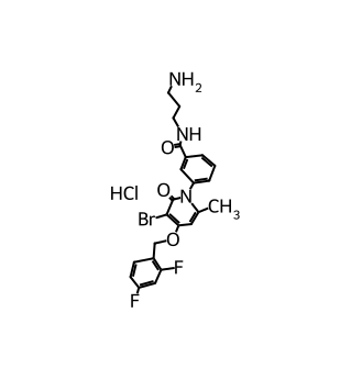 Cc1cc(OCc2ccc(F)cc2F)c(Br)c(=O)n1-c1cccc(C(=O)NCCCN)c1.Cl